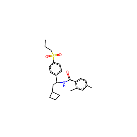 CCCS(=O)(=O)c1ccc(C(CC2CCC2)NC(=O)c2ccc(C)cc2C)cc1